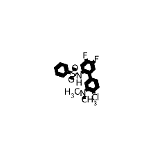 CN(C)c1cc(-c2cc(F)c(F)cc2NS(=O)(=O)c2ccccc2)ccc1Cl